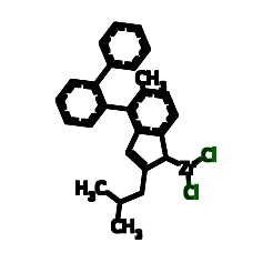 Cc1ccc2c(c1-c1ccccc1-c1ccccc1)C=C(CC(C)C)[CH]2[Zr]([Cl])[Cl]